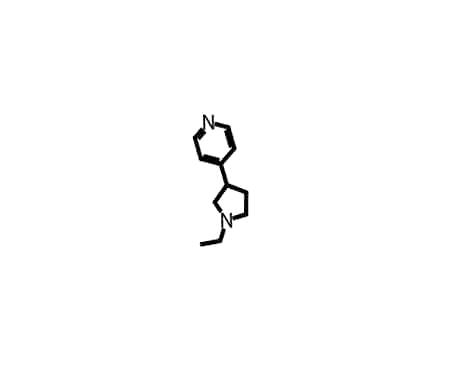 CCN1CCC(c2ccncc2)C1